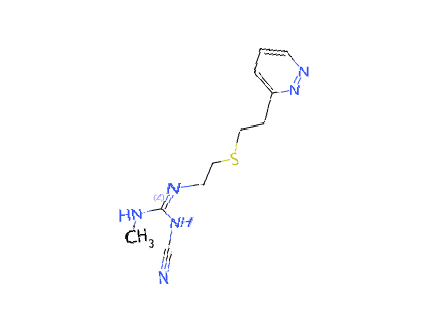 CN/C(=N/CCSCCc1cccnn1)NC#N